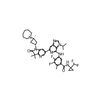 Cc1c(C(=O)NC2(C(F)F)CC2)cc(Nc2nc(-c3cnc4c(c3)N([C@H]3C[C@@](C)(N5CCCCCC5)C3)C(=O)C4(C)C)cc3ncn(C(C)C)c23)c(F)c1F